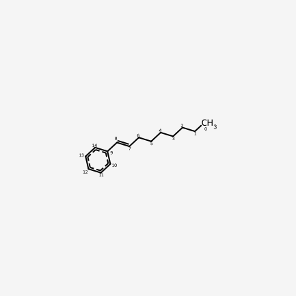 CCCCCCC/C=C/c1ccccc1